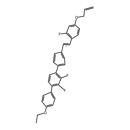 C=CCOc1ccc(/C=C/c2ccc(-c3ccc(-c4ccc(OCC)cc4)c(F)c3F)cc2)c(F)c1